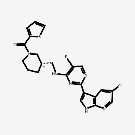 O=C(c1cccs1)N1CCC[C@@H](CNc2nc(-c3c[nH]c4ncc(Cl)cc34)ncc2F)C1